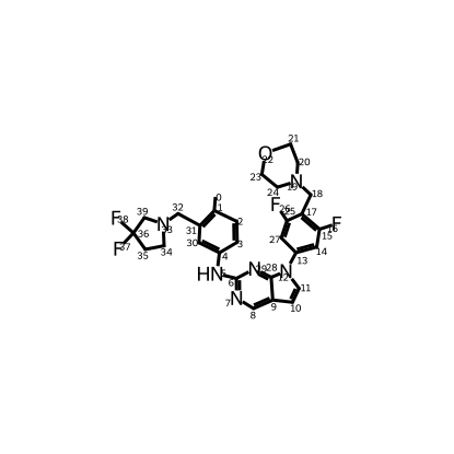 Cc1ccc(Nc2ncc3ccn(-c4cc(F)c(CN5CCOCC5)c(F)c4)c3n2)cc1CN1CCC(F)(F)C1